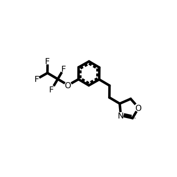 FC(F)C(F)(F)Oc1cccc(CCC2CO[C]=N2)c1